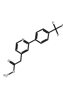 COC(=O)Cc1ccnc(-c2ccc(C(F)(F)F)cc2)c1